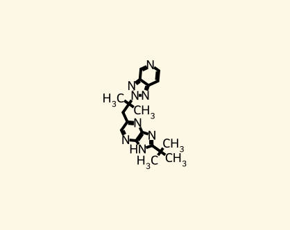 CC(C)(C)c1nc2nc(CC(C)(C)n3nc4ccncc4n3)cnc2[nH]1